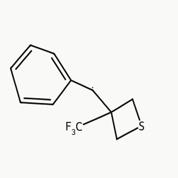 FC(F)(F)C1([CH]c2ccccc2)CSC1